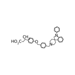 CC(CC(=O)O)c1ccc(OCc2ccc(CN3CCC4(CC3)CN(c3ccccc3)c3ccccc34)cc2)cc1